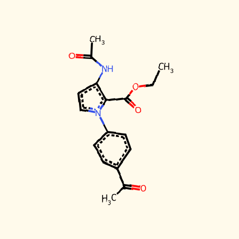 CCOC(=O)c1c(NC(C)=O)ccn1-c1ccc(C(C)=O)cc1